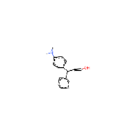 CN(C)c1ccc(C(C#CO)c2ccccc2)cc1